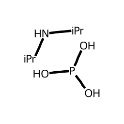 CC(C)NC(C)C.OP(O)O